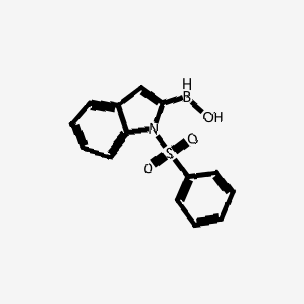 O=S(=O)(c1ccccc1)n1c(BO)cc2ccccc21